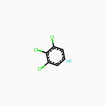 Clc1cccc(Cl)c1Cl.F